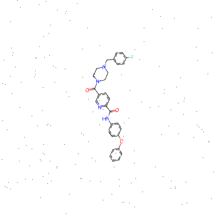 O=C(Nc1ccc(Oc2ccccc2)cc1)c1ccc(C(=O)N2CCN(Cc3ccc(F)cc3)CC2)cn1